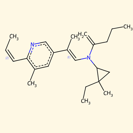 C=C(CCC)N(/C=C(\C)c1cnc(/C=C\C)c(C)c1)C1CC1(C)CC